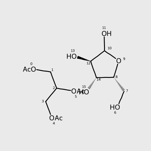 CC(=O)OCC(COC(C)=O)OC(C)=O.OC[C@H]1OC(O)[C@H](O)[C@H]1O